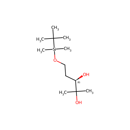 CC(C)(O)[C@H](O)CCO[Si](C)(C)C(C)(C)C